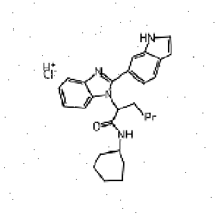 CC(C)CC(C(=O)NC1CCCCC1)n1c(-c2ccc3cc[nH]c3c2)nc2ccccc21.[Cl-].[H+]